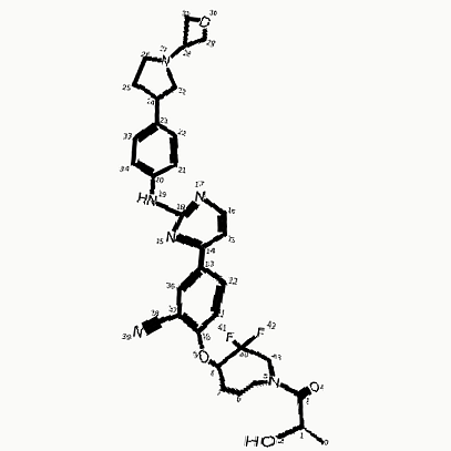 C[C@@H](O)C(=O)N1CCC(Oc2ccc(-c3ccnc(Nc4ccc(C5CCN(C6COC6)C5)cc4)n3)cc2C#N)C(F)(F)C1